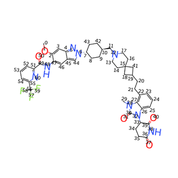 COc1cc2nn([C@H]3CC[C@H](CN4CCC5(CC4)CC(CCc4cccc6c4n(C)c(=O)n6C4CCC(=O)NC4=O)C5)CC3)cc2cc1NC(=O)c1cccc(C(F)(F)F)n1